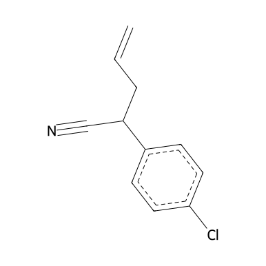 C=CCC(C#N)c1ccc(Cl)cc1